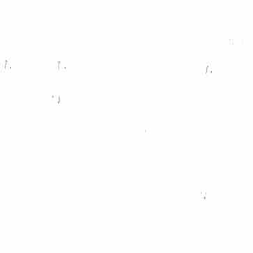 O=C(O)N1CCC(OCCn2cncn2)(c2cccnc2)CC1